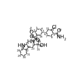 COc1ccc(-c2ccc(C(N)=O)c(Cl)c2)cc1S(=O)(=O)N[C@H](Cc1c[nH]c2ccccc12)C(C)(C)O